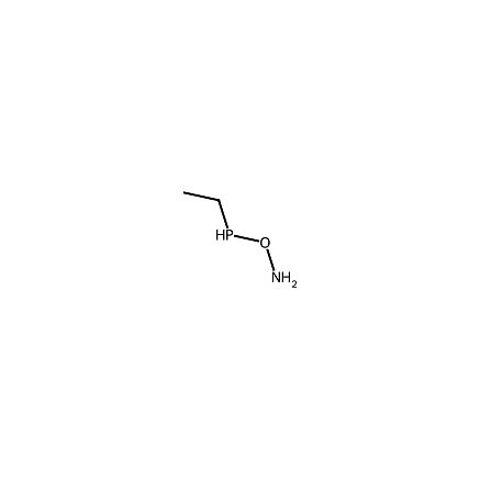 CCPON